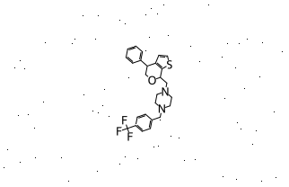 FC(F)(F)c1ccc(CN2CCN(CC3OCC(c4ccccc4)c4ccsc43)CC2)cc1